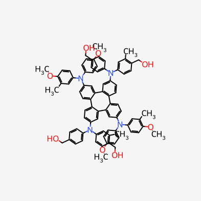 COc1ccc(N(c2ccc(OC)c(C)c2)c2ccc3c(c2)-c2cc(N(c4ccc(CO)cc4)c4ccc(CO)c(C)c4)ccc2-c2ccc(N(c4ccc(OC)cc4)c4ccc(OC)c(C)c4)cc2-c2cc(N(c4ccc(CO)cc4)c4ccc(CO)c(C)c4)ccc2-3)cc1